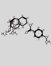 COc1ccc(C(=O)O[C@H]2C=C[C@@]34CCN(C)Cc5ccc(OC)c(c53)OC4C2)cc1